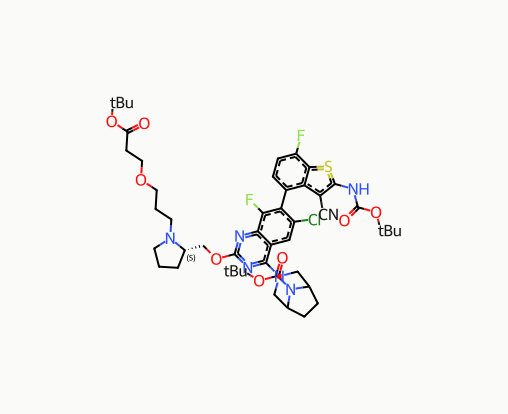 CC(C)(C)OC(=O)CCOCCCN1CCC[C@H]1COc1nc(N2CC3CCC(C2)N3C(=O)OC(C)(C)C)c2cc(Cl)c(-c3ccc(F)c4sc(NC(=O)OC(C)(C)C)c(C#N)c34)c(F)c2n1